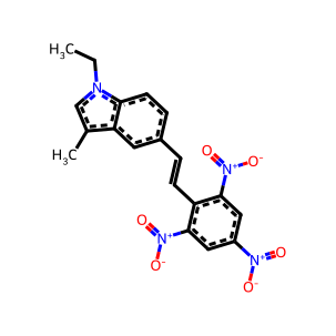 CCn1cc(C)c2cc(C=Cc3c([N+](=O)[O-])cc([N+](=O)[O-])cc3[N+](=O)[O-])ccc21